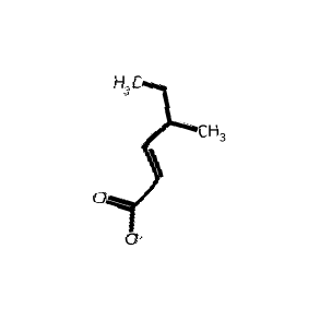 CCC(C)C=CC([O])=O